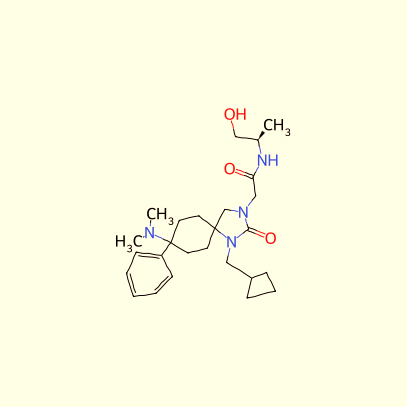 C[C@H](CO)NC(=O)CN1CC2(CCC(c3ccccc3)(N(C)C)CC2)N(CC2CCC2)C1=O